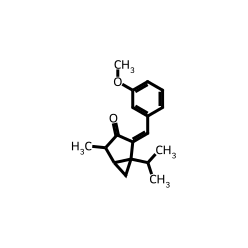 COc1cccc(C=C2C(=O)C(C)C3CC23C(C)C)c1